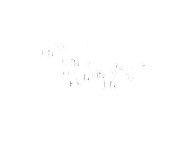 C=CCNC(=O)C(=O)[C@H](CC1CC1)NC(=O)[C@@H]1[C@@H]2C(CN1C(=O)[C@@H](NC(=O)NC1(CS(=O)(=O)C(C)(C)CF)CCCCC1)C1(C)CCCCC1)C2(C)C